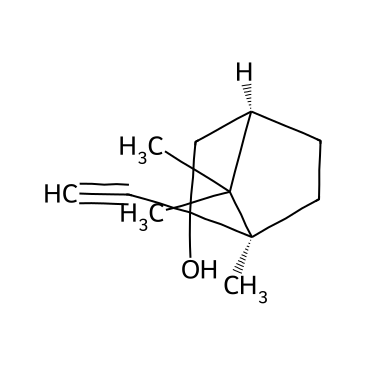 C#CC1(O)C[C@H]2CC[C@]1(C)C2(C)C